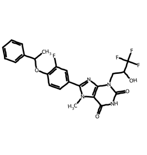 CC(Oc1ccc(-c2nc3c(c(=O)[nH]c(=O)n3CC(O)C(F)(F)F)n2C)cc1F)c1ccccc1